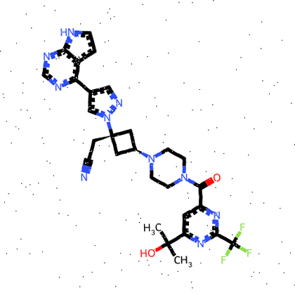 CC(C)(O)c1cc(C(=O)N2CCN([C@H]3C[C@](CC#N)(n4cc(-c5ncnc6[nH]ccc56)cn4)C3)CC2)nc(C(F)(F)F)n1